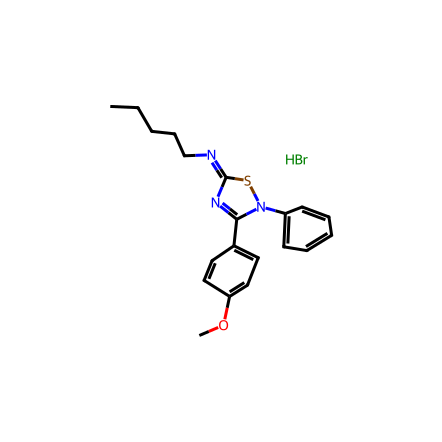 Br.CCCCC/N=c1\nc(-c2ccc(OC)cc2)n(-c2ccccc2)s1